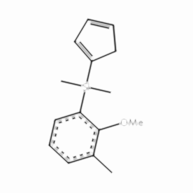 COc1c(C)cccc1[Si](C)(C)C1=CC=CC1